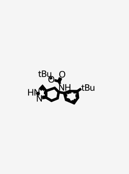 CC(C)(C)OC(=O)NC1(c2cccc(C(C)(C)C)c2)CCc2n[nH]cc2C1